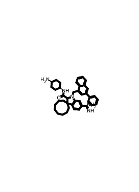 N=C(N)c1ccc2c(c1)N(Cc1cc(-c3ccccc3)cc3ccccc13)C(C(=O)N[C@H]1CC[C@H](N)CC1)C21CCCCCCCC1